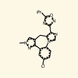 CC(C)c1nc(-c2ncn3c2Cc2cn(C)nc2-c2cc(Cl)ccc2-3)no1